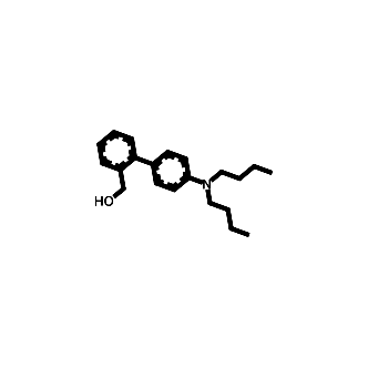 CCCCN(CCCC)c1ccc(-c2ccccc2CO)cc1